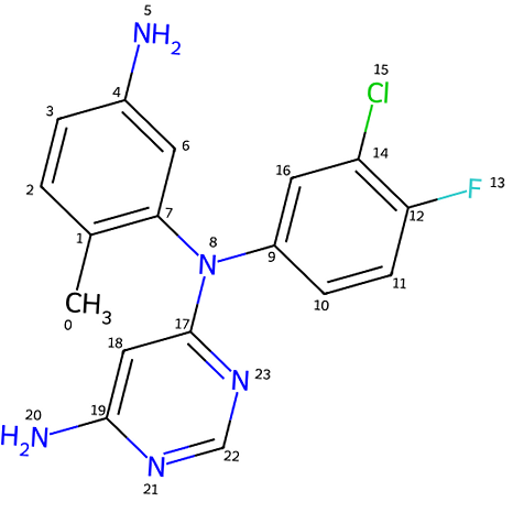 Cc1ccc(N)cc1N(c1ccc(F)c(Cl)c1)c1cc(N)ncn1